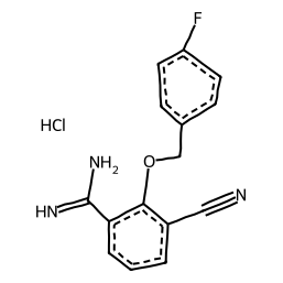 Cl.N#Cc1cccc(C(=N)N)c1OCc1ccc(F)cc1